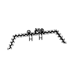 CCCCCCCC/C=C\CCCCCCCC(=O)NCC[C](CN)CCNC(=O)CCCCCCC/C=C\CCCCCCCC